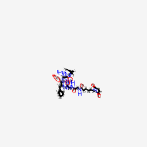 CC(C)CNC(=O)CNC(=O)[C@H](Cc1ccccc1)NC(=O)CNC(=O)CNC(=O)CCCCCN1C(=O)C=CC1=O